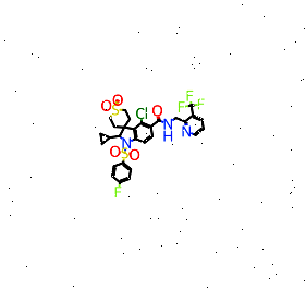 O=C(NCc1ncccc1C(F)(F)F)c1ccc2c(c1Cl)C1(CCS(=O)(=O)CC1)C(C1CC1)N2S(=O)(=O)c1ccc(F)cc1